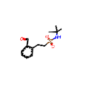 CC(C)(C)NS(=O)(=O)CCc1ccccc1C=O